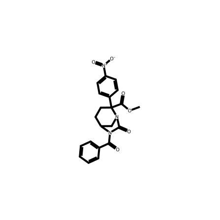 COC(=O)C1(c2ccc([N+](=O)[O-])cc2)CCC2CN1C(=O)N2C(=O)c1ccccc1